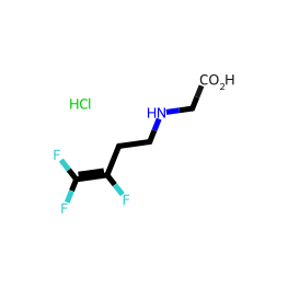 Cl.O=C(O)CNCCC(F)=C(F)F